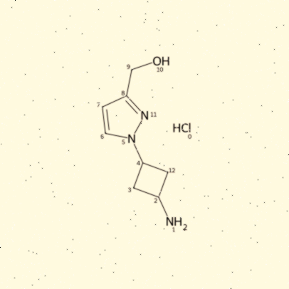 Cl.NC1CC(n2ccc(CO)n2)C1